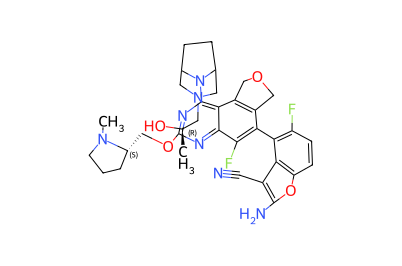 C[C@@H](O)CN1CC2CCC(C1)N2c1nc(OC[C@@H]2CCCN2C)nc2c(F)c(-c3c(F)ccc4oc(N)c(C#N)c34)c3c(c12)COC3